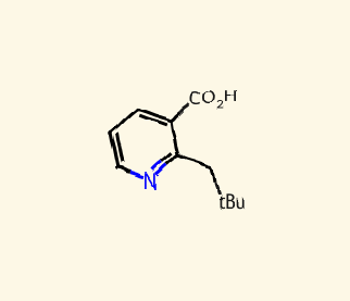 CC(C)(C)Cc1ncccc1C(=O)O